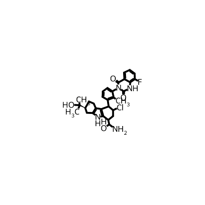 Cc1c(C2c3c([nH]c4c3CC[C@H](C(C)(C)O)C4)C(C(N)O)CC2Cl)cccc1-n1c(=O)[nH]c2c(F)cccc2c1=O